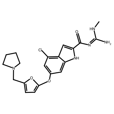 CNC(N)=NC(=O)c1cc2c(Cl)cc(Oc3ccc(CN4CCCC4)o3)cc2[nH]1